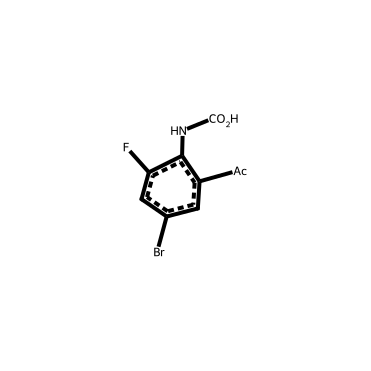 CC(=O)c1cc(Br)cc(F)c1NC(=O)O